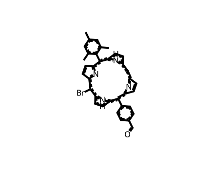 Cc1cc(C)c(-c2c3nc(c(Br)c4ccc([nH]4)c(-c4ccc(C=O)cc4)c4nc(cc5ccc2[nH]5)C=C4)C=C3)c(C)c1